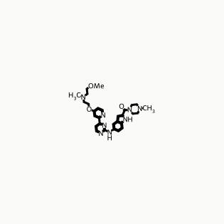 COCCN(C)CCOc1ccnc(-c2ccnc(Nc3ccc4[nH]c(C(=O)N5CCN(C)CC5)cc4c3)n2)c1